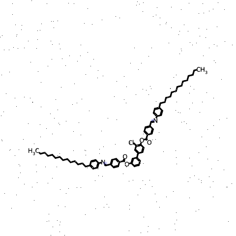 CCCCCCCCCCCCCCc1ccc(/N=C/c2ccc(C(=O)Oc3cccc(-c4ccc(OC(=O)c5ccc(/C=N/c6ccc(CCCCCCCCCCCCCC)cc6)cc5)c(Cl)c4)c3)cc2)cc1